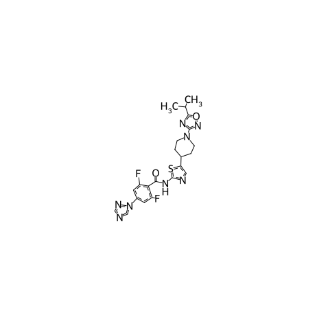 CC(C)c1nc(N2CCC(c3cnc(NC(=O)c4c(F)cc(-n5cncn5)cc4F)s3)CC2)no1